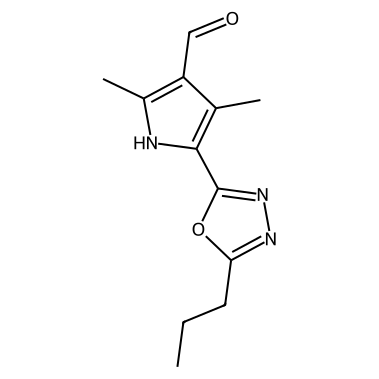 CCCc1nnc(-c2[nH]c(C)c(C=O)c2C)o1